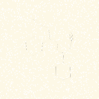 N#CCN(SSN(CC#N)C1CCCCC1)C1CCCCC1